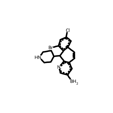 Bc1cnc2c(c1)C=Cc1cc(Cl)cc(Br)c1C2C1CCNCC1